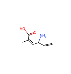 C=CC(N)C=C(C)C(=O)O